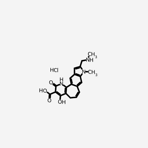 CNCc1cc2cc3c(cc2n1C)C=CCc1c-3[nH]c(=O)c(C(=O)O)c1O.Cl